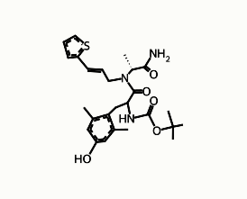 Cc1cc(O)cc(C)c1CC(NC(=O)OC(C)(C)C)C(=O)N(C/C=C/c1cccs1)[C@H](C)C(N)=O